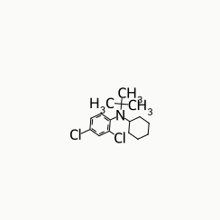 CC(C)(C)N(c1ccc(Cl)cc1Cl)C1CCCCC1